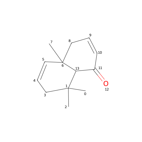 CC1(C)CC=CC2(C)CC=CC(=O)C12